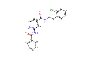 O=C(NCCc1ccccc1Cl)c1ccnc(NC(=O)c2ccccc2)c1